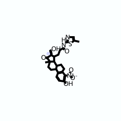 Cc1cnc(NC(=O)CCC2/C(=C\O)C(=O)C3(C)CCC4c5ccc(O)c([N+](=O)[O-])c5CCC4C23)s1